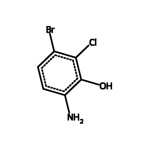 Nc1ccc(Br)c(Cl)c1O